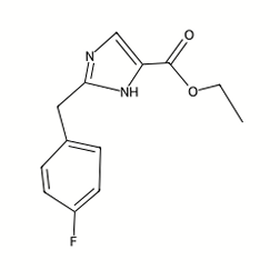 CCOC(=O)c1cnc(Cc2ccc(F)cc2)[nH]1